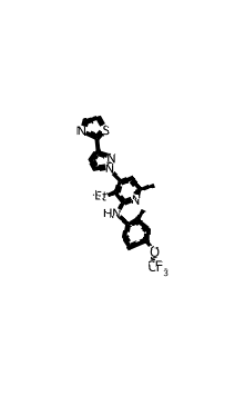 [CH2][CH]c1c(-n2ccc(-c3nccs3)n2)cc(C)nc1Nc1ccc(OC(F)(F)F)cc1C